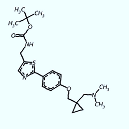 CN(C)CC1(COc2ccc(-c3ncc(CNC(=O)OC(C)(C)C)s3)cc2)CC1